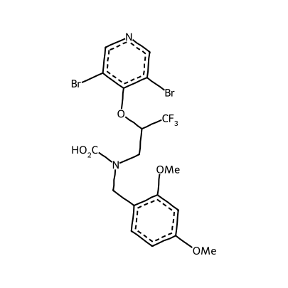 COc1ccc(CN(CC(Oc2c(Br)cncc2Br)C(F)(F)F)C(=O)O)c(OC)c1